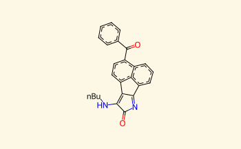 CCCCNC1=C2C(=NC1=O)c1cccc3c(C(=O)c4ccccc4)ccc2c13